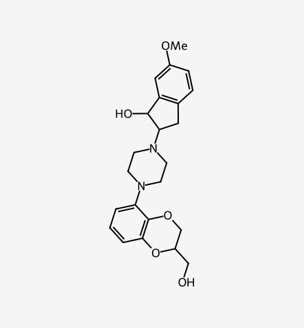 COc1ccc2c(c1)C(O)C(N1CCN(c3cccc4c3OCC(CO)O4)CC1)C2